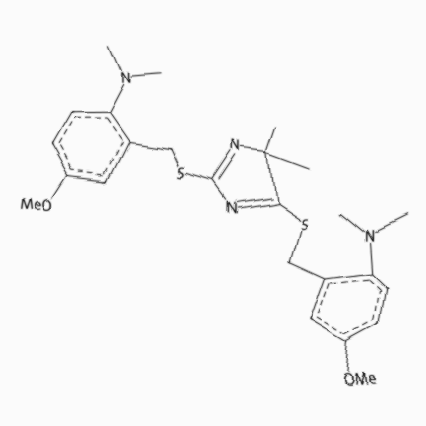 COc1ccc(N(C)C)c(CSC2=NC(C)(C)C(SCc3cc(OC)ccc3N(C)C)=N2)c1